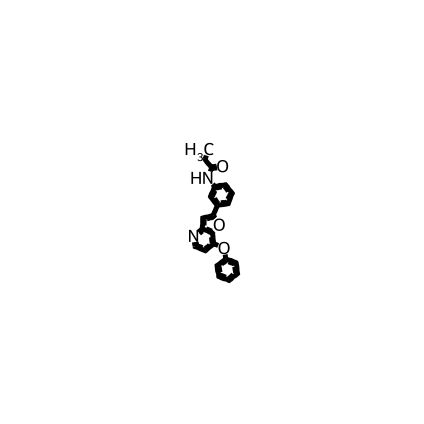 CCC(=O)Nc1cccc(-c2cc3nccc(Oc4ccccc4)c3o2)c1